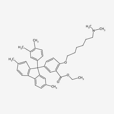 CCOC(=O)c1cc(C2(c3ccc(C)c(C)c3)c3cc(C)ccc3-c3ccc(C)cc32)ccc1OCCCCCCN(C)C